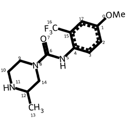 COc1ccc(NC(=O)N2CCNC(C)C2)c(C(F)(F)F)c1